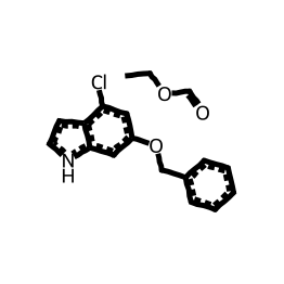 CCOC=O.Clc1cc(OCc2ccccc2)cc2[nH]ccc12